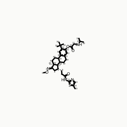 CO/N=C1\C[C@@H](CCC(=O)Nc2ncc(C)s2)C2C3CCc4cc(OC(=O)CNC(C)C)c(C(C)(C)C)cc4C3CC[C@]12C